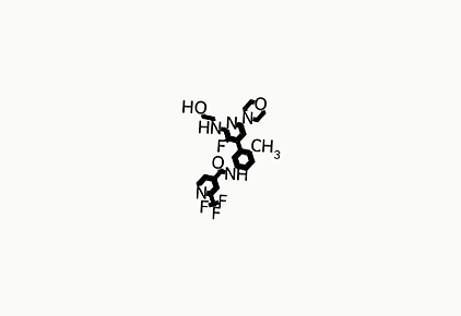 Cc1ccc(NC(=O)c2ccnc(C(F)(F)F)c2)cc1-c1cc(N2CCOCC2)nc(NCCO)c1F